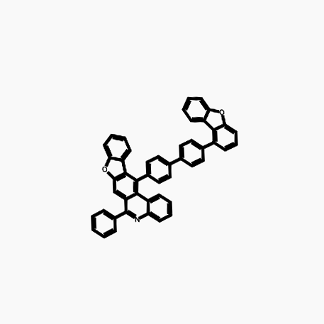 c1ccc(-c2nc3ccccc3c3c(-c4ccc(-c5ccc(-c6cccc7oc8ccccc8c67)cc5)cc4)c4c(cc23)oc2ccccc24)cc1